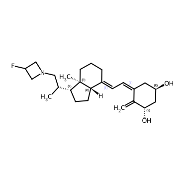 C=C1/C(=C\C=C2/CCC[C@]3(C)[C@@H](C(C)CN4CC(F)C4)CC[C@@H]23)C[C@@H](O)C[C@@H]1O